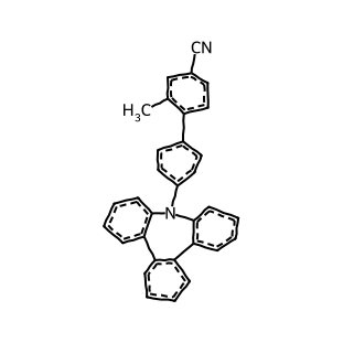 Cc1cc(C#N)ccc1-c1ccc(N2c3ccccc3-c3ccccc3-c3ccccc32)cc1